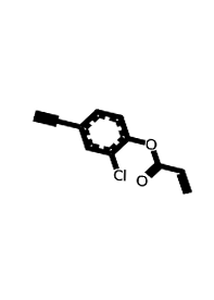 C#Cc1ccc(OC(=O)C=C)c(Cl)c1